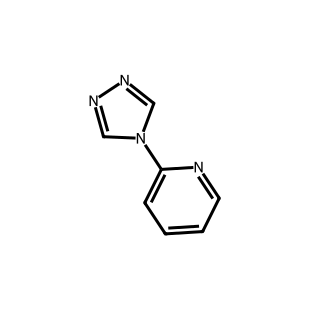 c1ccc(-n2cnnc2)nc1